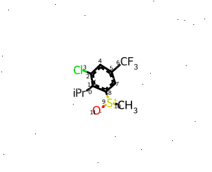 CC(C)c1c(Cl)cc(C(F)(F)F)cc1[S+](C)[O-]